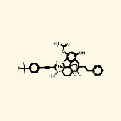 CC(=O)Oc1cc(O)c2c3c1O[C@H]1[C@@H](N(C)C(=O)C#Cc4ccc(C(F)(F)F)cc4)CC[C@H]4[C@@H](C2)N(CCc2ccccc2)CC[C@@]341